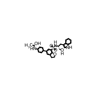 CC(O)Nc1ccc(-c2cc3c(c(S(=O)(=O)N[C@@H](CO)Cc4c[nH]c5ccccc45)c2)OCC3)cc1